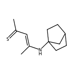 CC(=S)C=C(C)NC12CCC(CC1)C2